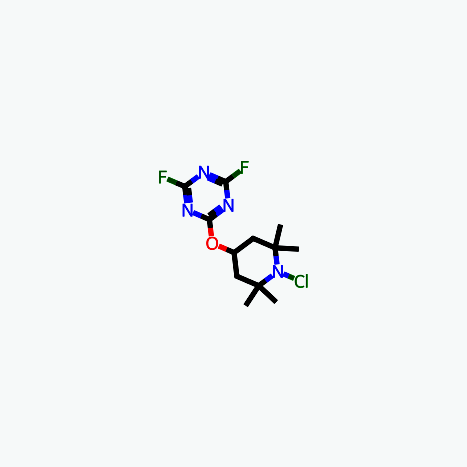 CC1(C)CC(Oc2nc(F)nc(F)n2)CC(C)(C)N1Cl